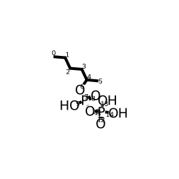 CCCCC(C)OP(=O)(O)OP(=O)(O)O